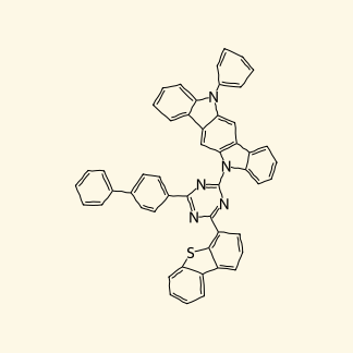 c1ccc(-c2ccc(-c3nc(-c4cccc5c4sc4ccccc45)nc(-n4c5ccccc5c5cc6c(cc54)c4ccccc4n6-c4ccccc4)n3)cc2)cc1